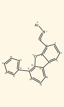 CC(=O)/N=C/c1cccc2c1oc1c(-c3ccccc3)cccc12